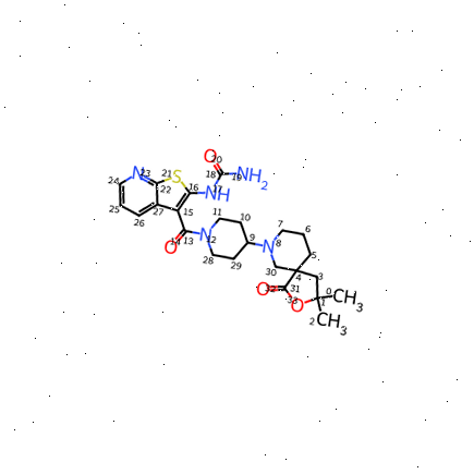 CC1(C)CC2(CCCN(C3CCN(C(=O)c4c(NC(N)=O)sc5ncccc45)CC3)C2)C(=O)O1